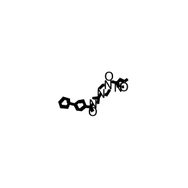 Cc1cc(C(=O)N2CCN(C3CN(C(=O)c4ccc(-c5ccccc5)cc4)C3)CC2)no1